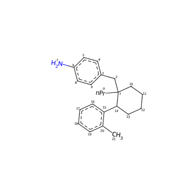 CCCC1(Cc2ccc(N)cc2)CCCCC1c1ccccc1C